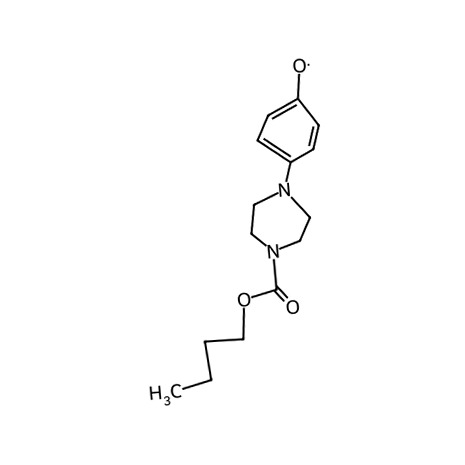 CCCCOC(=O)N1CCN(c2ccc([O])cc2)CC1